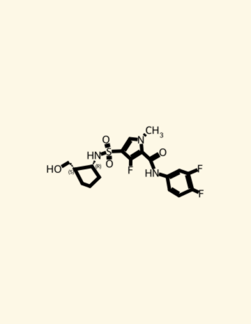 Cn1cc(S(=O)(=O)N[C@@H]2CCC[C@@H]2CO)c(F)c1C(=O)Nc1ccc(F)c(F)c1